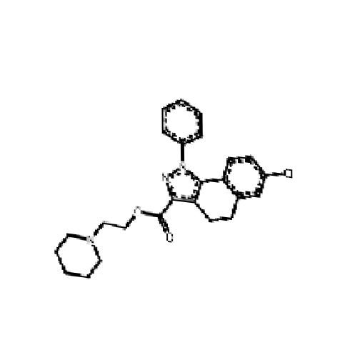 O=C(OCCN1CCCCC1)c1nn(-c2ccccc2)c2c1CCc1cc(Cl)ccc1-2